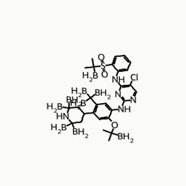 BC1(B)CC(c2cc(OC(B)(C)C)c(Nc3ncc(Cl)c(Nc4ccccc4S(=O)(=O)C(B)(C)C)n3)cc2C(B)(B)B)CC(B)(B)N1